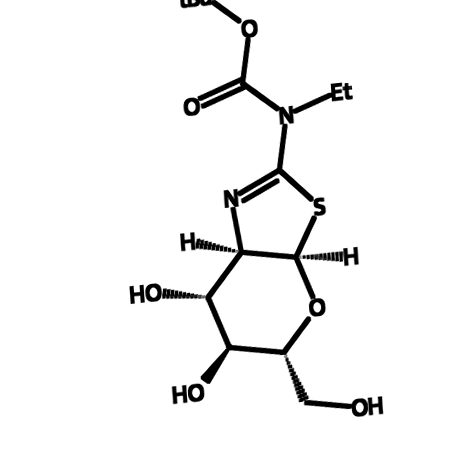 CCN(C(=O)OC(C)(C)C)C1=N[C@@H]2[C@@H](O)[C@H](O)[C@@H](CO)O[C@@H]2S1